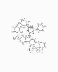 CC1(C)c2ccccc2-c2cc3c(cc21)c1ccc(C(=O)c2ccccc2)cc1n3-c1nc(-c2ccccc2)nc(-c2ccccc2)n1